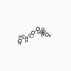 O=C(NS(=O)(=O)c1ccc(F)cc1)c1cccc(-c2ccc3c(c2)CC[C@H](CNC[C@H](O)c2cccnc2)O3)c1